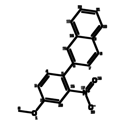 COc1ccc(-c2ccc3ccccc3c2)c([N+](=O)[O-])c1